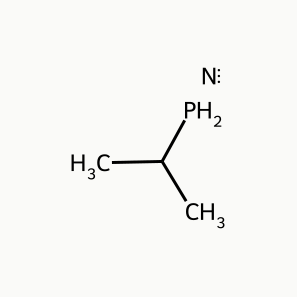 CC(C)P.[N]